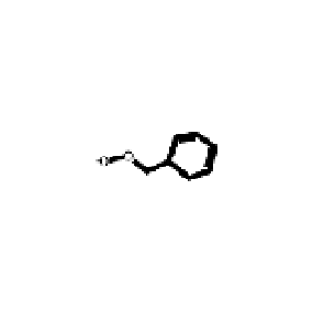 [O]OCC1C=CC=CC1